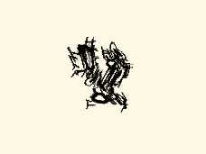 CS(=O)(=O)Nc1nn(CC(F)(F)F)c2c(-n3c([C@H](Cc4cc(F)cc(F)c4)NC(=O)Cn4nc(C(F)F)c5c4C(F)(F)[C@@H]4C[C@H]54)nc(-c4ncc(F)cn4)cc3=O)ccc(Cl)c12